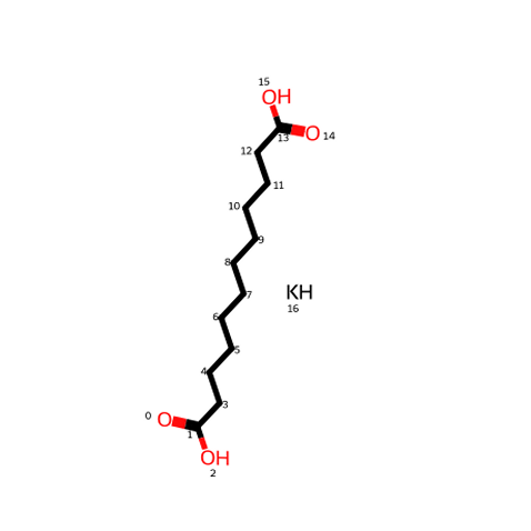 O=C(O)CCCCCCCCCCC(=O)O.[KH]